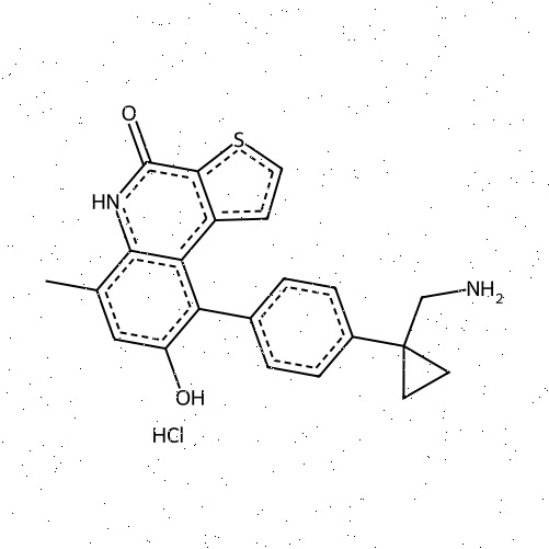 Cc1cc(O)c(-c2ccc(C3(CN)CC3)cc2)c2c1[nH]c(=O)c1sccc12.Cl